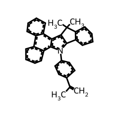 C=C(C)c1ccc(-n2c3c(c4c5ccccc5c5ccccc5c42)C(C)(C)c2ccccc2-3)cc1